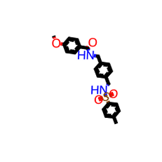 COc1ccc(C(=O)NCc2ccc(CNS(=O)(=O)c3ccc(C)cc3)cc2)cc1